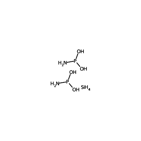 NP(O)O.NP(O)O.[SiH4]